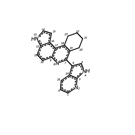 c1cnc2[nH]cc(-c3nc4ccc5[nH]ccc5c4c4c3CCCC4)c2c1